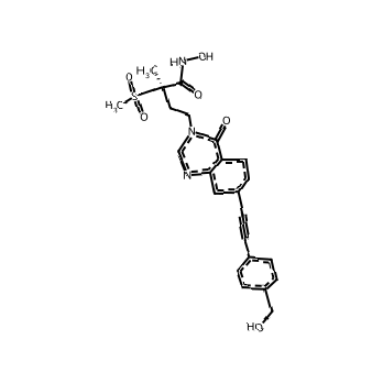 C[C@@](CCn1cnc2cc(C#Cc3ccc(CO)cc3)ccc2c1=O)(C(=O)NO)S(C)(=O)=O